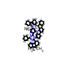 CC1(C)C2=C(CCC=C2)C2C=CC3=C(C21)N1C2=CC(n4c5c(c6c4C=CCC6)CCC=C5)=C(C#N)CC2C2NC(c4ccccc4)NC(C4=C5c6ccccc6C(C)(C)C5CCC4)N2C2=CC1C3C=C2